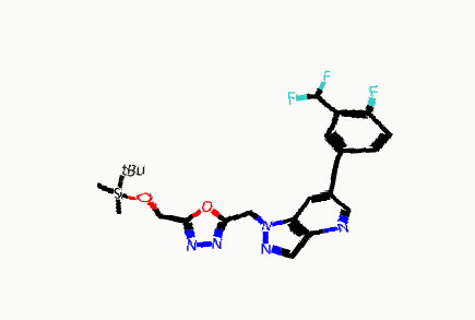 CC(C)(C)[Si](C)(C)OCc1nnc(Cn2ncc3ncc(-c4ccc(F)c(C(F)F)c4)cc32)o1